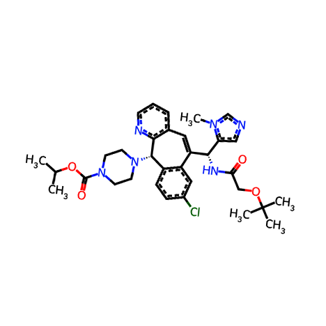 CC(C)OC(=O)N1CCN([C@H]2c3ccc(Cl)cc3C([C@@H](NC(=O)COC(C)(C)C)c3cncn3C)=Cc3cccnc32)CC1